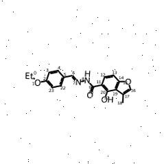 CCOc1ccc(C=NNC(=O)c2ccc3occ(C)c3c2O)cc1